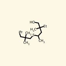 CCC(C)(CO)CC(C)SCC(C)(C)CC(C)C